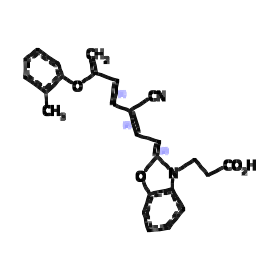 C=C(/C=C/C(C#N)=C/C=C1\Oc2ccccc2N1CCC(=O)O)Oc1ccccc1C